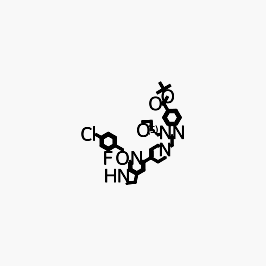 CC(C)(C)OC(=O)c1ccc2nc(CN3CC=C(c4cc5c(c(OCc6ccc(Cl)cc6F)n4)NCC5)CC3)n(C[C@@H]3CCO3)c2c1